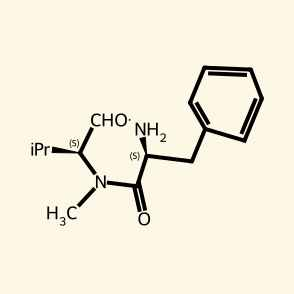 CC(C)[C@@H]([C]=O)N(C)C(=O)[C@@H](N)Cc1ccccc1